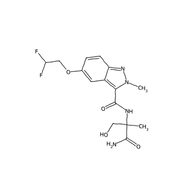 Cn1nc2ccc(OCC(F)F)cc2c1C(=O)NC(C)(CO)C(N)=O